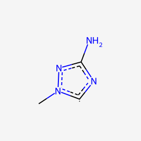 Cn1[c]nc(N)n1